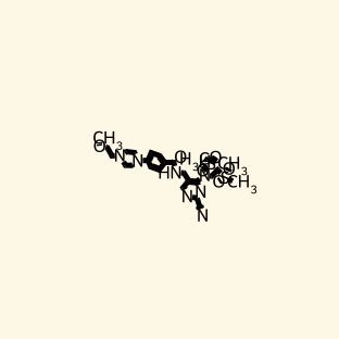 COCCN1CCN(c2ccc(C(=O)NCc3cnc(C#N)nc3NCC(C)(S(C)(=O)=O)S(C)(=O)=O)cc2)CC1